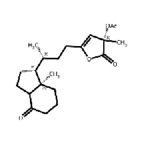 CC(=O)O[C@@]1(C)C=C(CC[C@@H](C)[C@H]2CCC3C(=O)CCC[C@@]32C)OC1=O